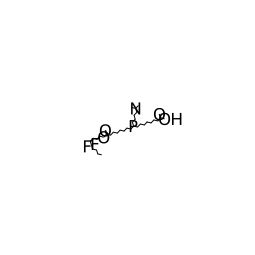 CCCCC(F)(F)/C=C\CCOC(=O)CCCCCCCP(CCCCCCCC(=O)O)CCCCN(C)C